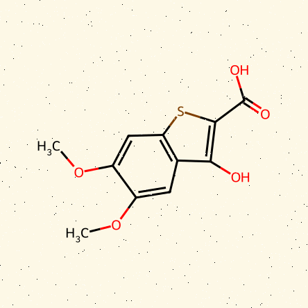 COc1cc2sc(C(=O)O)c(O)c2cc1OC